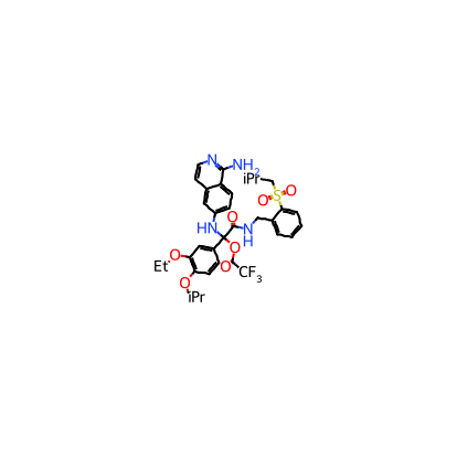 CCOc1cc(C(Nc2ccc3c(N)nccc3c2)(OC(=O)C(F)(F)F)C(=O)NCc2ccccc2S(=O)(=O)CC(C)C)ccc1OC(C)C